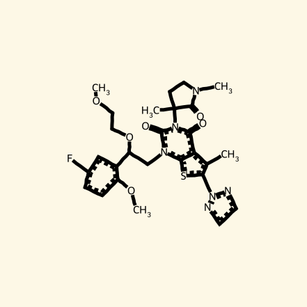 COCCOC(Cn1c(=O)n(C2(C)CCN(C)C2=O)c(=O)c2c(C)c(-n3nccn3)sc21)c1cc(F)ccc1OC